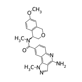 COc1ccc2c(c1)COC[C@H]2N(C)C(=O)c1ccc2nc(N)c3cnn(C)c3c2c1